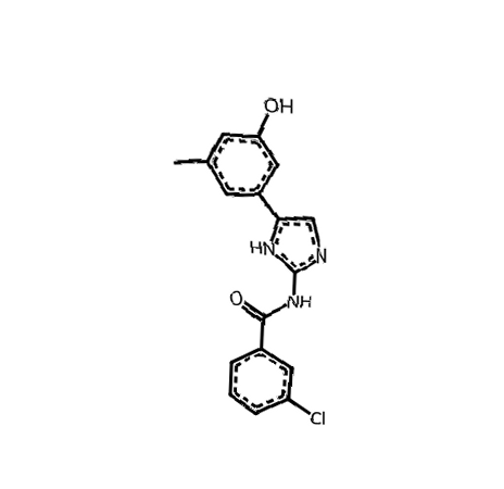 Cc1cc(O)cc(-c2cnc(NC(=O)c3cccc(Cl)c3)[nH]2)c1